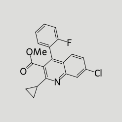 COC(=O)c1c(C2CC2)nc2cc(Cl)ccc2c1-c1ccccc1F